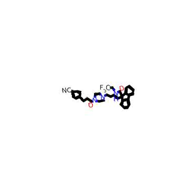 N#Cc1ccc(CCC(=O)N2CCN(CCCCC3(C(=O)NCC(F)(F)F)c4ccccc4-c4ccccc43)CC2)cc1